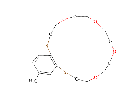 Cc1ccc2c(c1)SCCOCCOCCOCCOCCS2